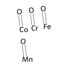 [O]=[Co].[O]=[Cr].[O]=[Fe].[O]=[Mn]